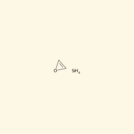 C1=CO1.[SiH4]